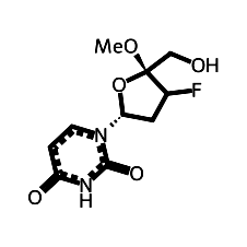 CO[C@]1(CO)O[C@@H](n2ccc(=O)[nH]c2=O)CC1F